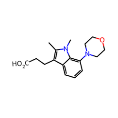 Cc1c(CCC(=O)O)c2cccc(N3CCOCC3)c2n1C